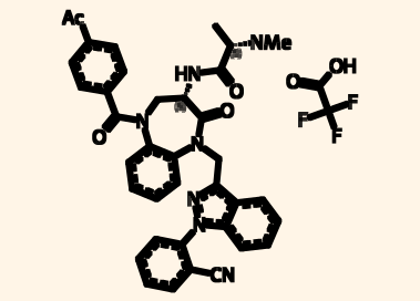 CN[C@@H](C)C(=O)N[C@H]1CN(C(=O)c2ccc(C(C)=O)cc2)c2ccccc2N(Cc2nn(-c3ccccc3C#N)c3ccccc23)C1=O.O=C(O)C(F)(F)F